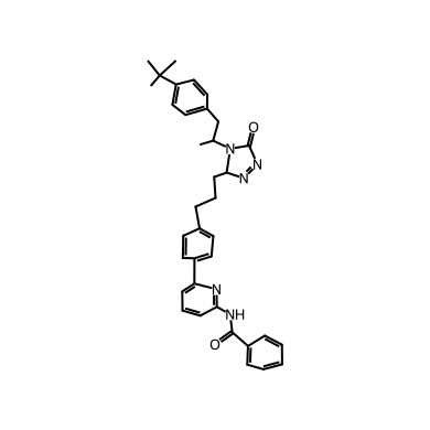 CC(Cc1ccc(C(C)(C)C)cc1)N1C(=O)N=NC1CCCc1ccc(-c2cccc(NC(=O)c3ccccc3)n2)cc1